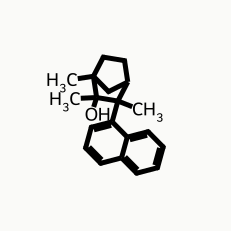 CC12CCC(C1)C(C)(c1cccc3ccccc13)C2(C)O